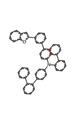 c1ccc(-c2ccccc2-c2ccc(N(c3ccc(-c4cccc(-c5cc6ccccc6o5)c4)cc3)c3ccccc3-c3ccccc3)cc2)cc1